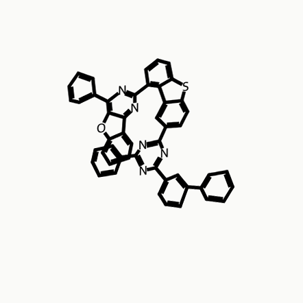 c1ccc(-c2cccc(-c3nc(-c4ccccc4)nc(-c4ccc5sc6cccc(-c7nc(-c8ccccc8)c8oc9ccccc9c8n7)c6c5c4)n3)c2)cc1